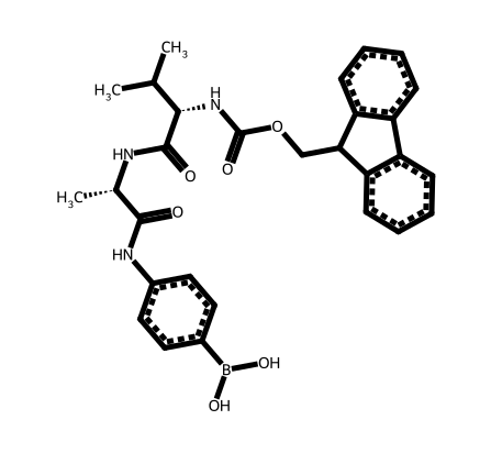 CC(C)[C@H](NC(=O)OCC1c2ccccc2-c2ccccc21)C(=O)N[C@@H](C)C(=O)Nc1ccc(B(O)O)cc1